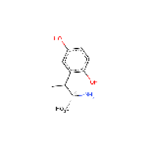 CC(c1cc(O)ccc1O)[C@H](N)C(=O)O